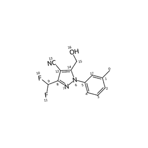 Cc1cccc(-n2nc(C(F)F)c(C#N)c2CO)c1